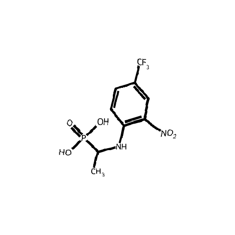 CC(Nc1ccc(C(F)(F)F)cc1[N+](=O)[O-])P(=O)(O)O